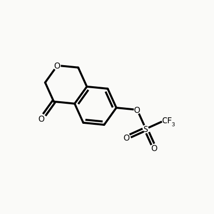 O=C1COCc2cc(OS(=O)(=O)C(F)(F)F)ccc21